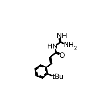 CC(C)(C)c1ccccc1C=CC(=O)NC(=N)N